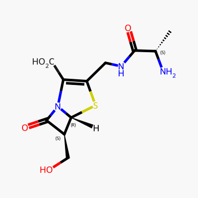 C[C@H](N)C(=O)NCC1=C(C(=O)O)N2C(=O)[C@H](CO)[C@H]2S1